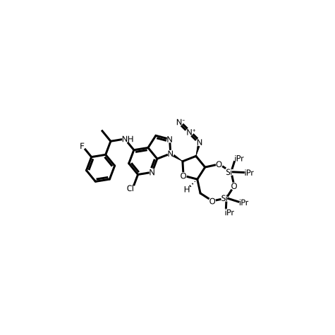 CC(Nc1cc(Cl)nc2c1cnn2[C@@H]1O[C@@H]2CO[Si](C(C)C)(C(C)C)O[Si](C(C)C)(C(C)C)OC2[C@@H]1N=[N+]=[N-])c1ccccc1F